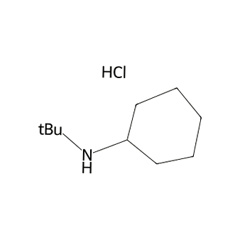 CC(C)(C)NC1CCCCC1.Cl